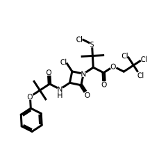 CC(C)(Oc1ccccc1)C(=O)NC1C(=O)N(C(C(=O)OCC(Cl)(Cl)Cl)C(C)(C)SCl)C1Cl